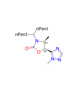 CCCCCC(CCCCC)N1C(=O)O[C@H](c2ncnn2C)[C@@H]1C